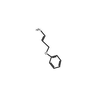 CCCC=CCOc1cc[c]cc1